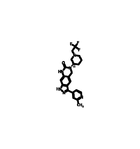 Cc1cc(-c2n[nH]c3cc4c(cc23)CN([C@H]2CCCN(CC(F)(F)F)C2)C(=O)N4)ccn1